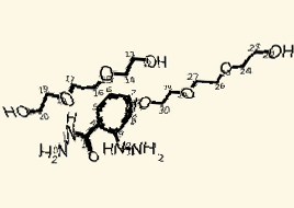 NNC(=O)c1ccccc1NN.OCCOCCOCCO.OCCOCCOCCO